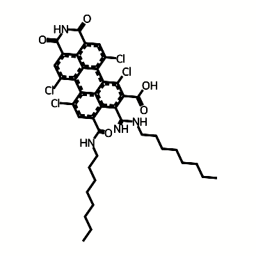 CCCCCCCCNC(=N)c1c(C(=O)O)c(Cl)c2c3c(Cl)cc4c5c(cc(Cl)c(c6c(Cl)cc(C(=O)NCCCCCCCC)c1c62)c53)C(=O)NC4=O